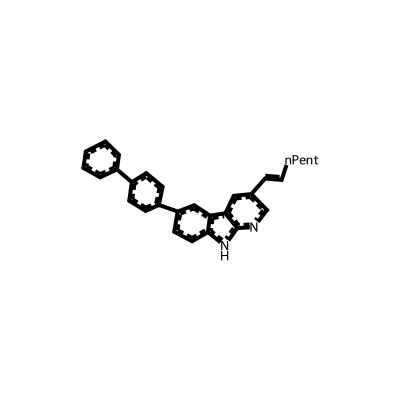 CCCCCC=Cc1cnc2[nH]c3ccc(-c4ccc(-c5ccccc5)cc4)cc3c2c1